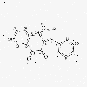 O=C1C(=O)c2c(-c3ccccc3)coc2-c2ccccc21